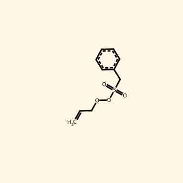 C=CCOOS(=O)(=O)Cc1ccccc1